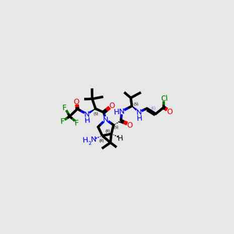 CC(C)[C@@H](N/C=C/C(=O)Cl)NC(=O)[C@@H]1[C@H]2C(C)(C)[C@@]2(N)CN1C(=O)[C@@H](NC(=O)C(F)(F)F)C(C)(C)C